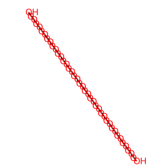 OCCOCCOCCOCCOCCOCCOCCOCCOCCOCCOCCOCCOCCOCCOCCOCCOCCOCCOCCOCCOCCOCCOCCOCCOCCOCCOCCOCCOCCOCCOCCOCCOCCOCCOCCOCCOCCOCCOCCOCCO